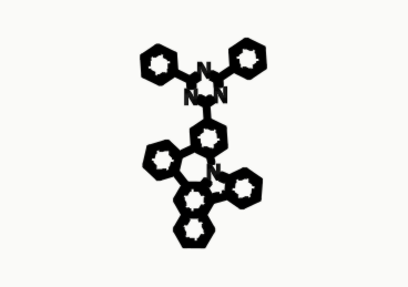 c1ccc(-c2nc(-c3ccccc3)nc(-c3ccc4c(c3)-c3ccccc3-c3cc5ccccc5c5c6ccccc6n-4c35)n2)cc1